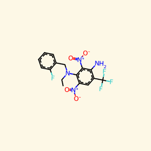 CCN(Cc1ccccc1F)c1c([N+](=O)[O-])cc(C(F)(F)F)c(N)c1[N+](=O)[O-]